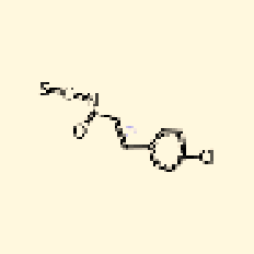 O=C(/C=C/c1ccc(Cl)cc1)N=C=S